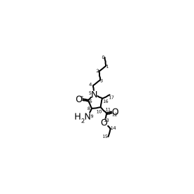 CCCCCN1C(=O)C(N)C(C(=O)OCC)C1C